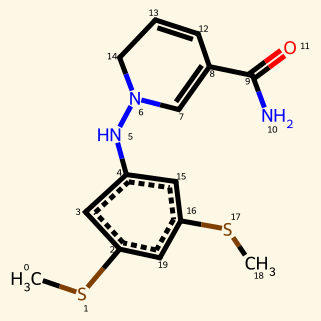 CSc1cc(NN2C=C(C(N)=O)C=CC2)cc(SC)c1